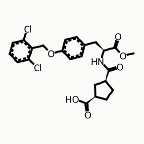 COC(=O)[C@H](Cc1ccc(OCc2c(Cl)cccc2Cl)cc1)NC(=O)[C@H]1CC[C@@H](C(=O)O)C1